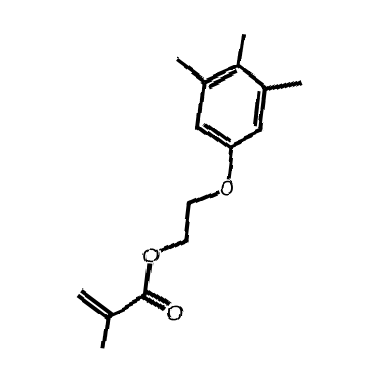 C=C(C)C(=O)OCCOc1cc(C)c(C)c(C)c1